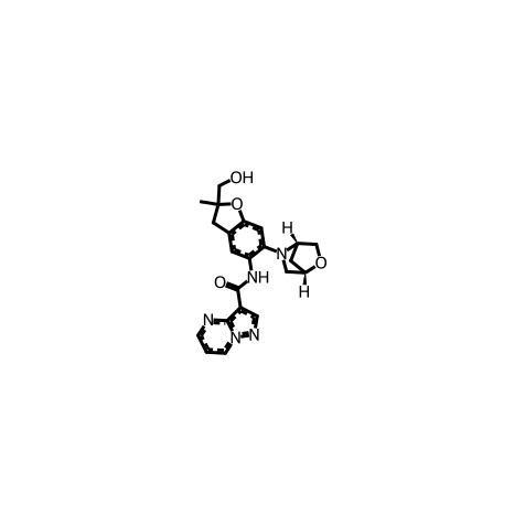 CC1(CO)Cc2cc(NC(=O)c3cnn4cccnc34)c(N3C[C@@H]4C[C@H]3CO4)cc2O1